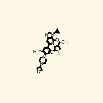 Cc1cc(-c2cc3ncn(C4CC4)c3c(O[C@H](C)C3CNC(=O)C3)n2)ccc1N1CCN(C2COC2)CC1